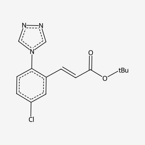 CC(C)(C)OC(=O)/C=C/c1cc(Cl)ccc1-n1cnnc1